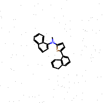 CN(c1ccc(-c2cccc3c2C=C=CC3)s1)c1cccc2ccccc12